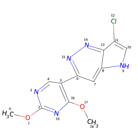 COc1ncc(-c2cc3[nH]cc(Cl)c3nn2)c(OC)n1